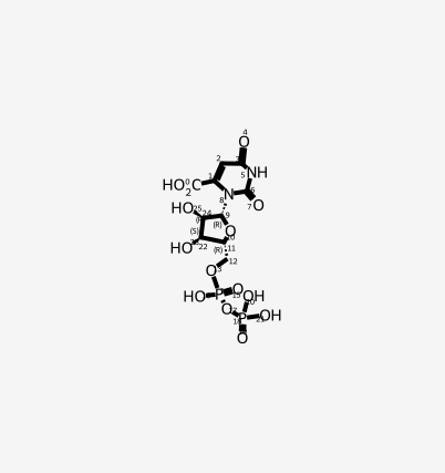 O=C(O)c1cc(=O)[nH]c(=O)n1[C@@H]1O[C@H](COP(=O)(O)OP(=O)(O)O)[C@@H](O)[C@H]1O